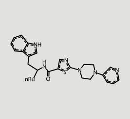 CCCCC(Cc1c[nH]c2ccccc12)NC(=O)c1cnc(N2CCN(c3cccnc3)CC2)s1